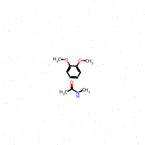 CNC(C)=O.COc1ccccc1OC